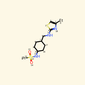 CCc1csc(NCC2CCC(NS(=O)(=O)C(C)C)CC2)n1